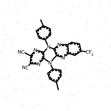 Cc1ccc(N2c3nc(C#N)c(C#N)nc3N(c3ccc(C)cc3)c3nc4cc(C(F)(F)F)ccc4nc32)cc1